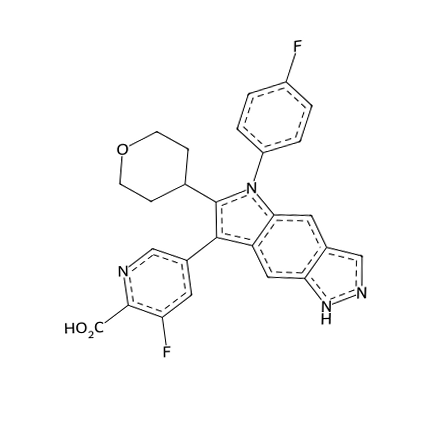 O=C(O)c1ncc(-c2c(C3CCOCC3)n(-c3ccc(F)cc3)c3cc4cn[nH]c4cc23)cc1F